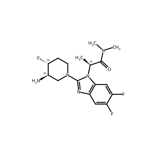 C[C@@H](C(=O)N(C)C)n1c(N2CC[C@@H](F)[C@H](N)C2)nc2cc(F)c(F)cc21